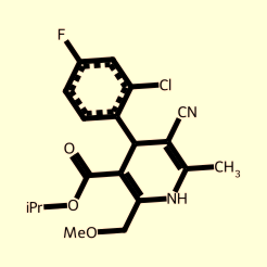 COCC1=C(C(=O)OC(C)C)C(c2ccc(F)cc2Cl)C(C#N)=C(C)N1